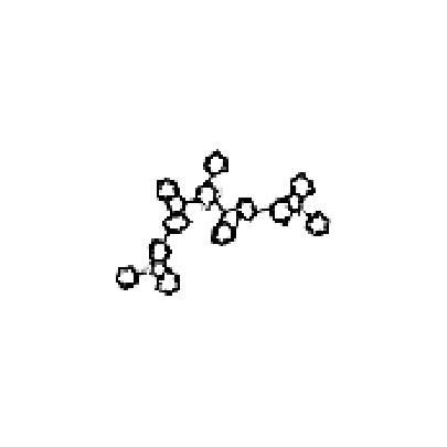 c1ccc(-c2cc(C3c4ccccc4-c4cc(-c5ccc6c(c5)c5ccccc5n6-c5ccccc5)ccc43)nc(C3c4ccccc4-c4cc(-c5ccc6c(c5)c5ccccc5n6-c5ccccc5)ccc43)n2)cc1